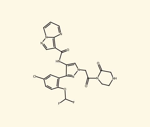 O=C(Nc1cn(CC(=O)N2CCNCC2=O)nc1-c1cc(Cl)ccc1OC(F)F)c1cnn2cccnc12